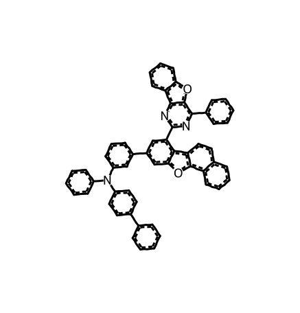 c1ccc(-c2ccc(N(c3ccccc3)c3cccc(-c4cc(-c5nc(-c6ccccc6)c6oc7ccccc7c6n5)c5c(c4)oc4c6ccccc6ccc45)c3)cc2)cc1